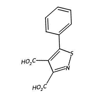 O=C(O)c1nsc(-c2ccccc2)c1C(=O)O